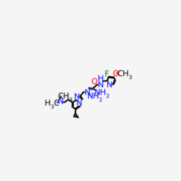 COc1ccnc(CNC(=O)/C(N)=C/N(N)Cc2cn3cc(C4CC4)cc(CCN(C)C)c3n2)c1F